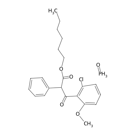 CCCCCCOC(=O)C(C(=O)c1c(Cl)cccc1OC)c1ccccc1.O=[PH3]